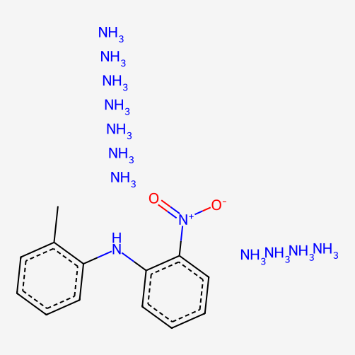 Cc1ccccc1Nc1ccccc1[N+](=O)[O-].N.N.N.N.N.N.N.N.N.N.N